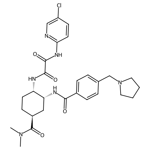 CN(C)C(=O)[C@H]1CC[C@H](NC(=O)C(=O)Nc2ccc(Cl)cn2)[C@H](NC(=O)c2ccc(CN3CCCC3)cc2)C1